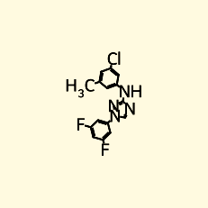 Cc1cc(Cl)cc(Nc2ncn(-c3cc(F)cc(F)c3)n2)c1